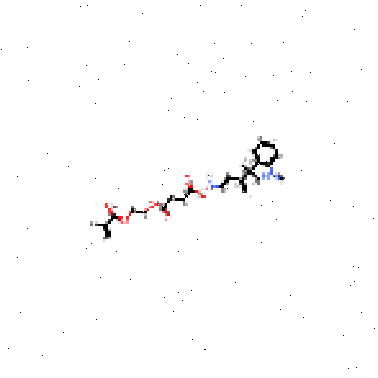 C=C(C)C(=O)OCCOC(=O)CCC(=O)ON/C=C/C(=C)C(C)(C)c1ccccc1NC